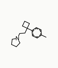 Cc1ccc(C2(CCN3CCCC3)CCC2)cc1